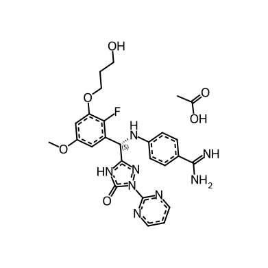 CC(=O)O.COc1cc(OCCCO)c(F)c([C@H](Nc2ccc(C(=N)N)cc2)c2nn(-c3ncccn3)c(=O)[nH]2)c1